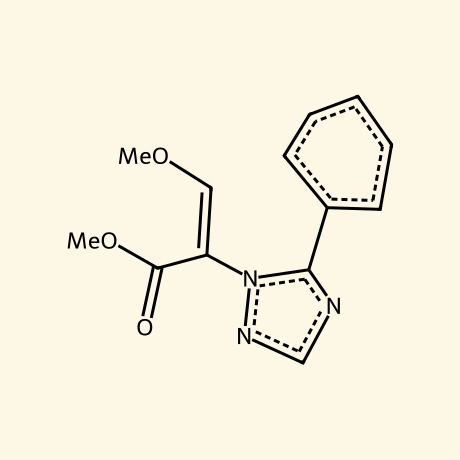 COC=C(C(=O)OC)n1ncnc1-c1ccccc1